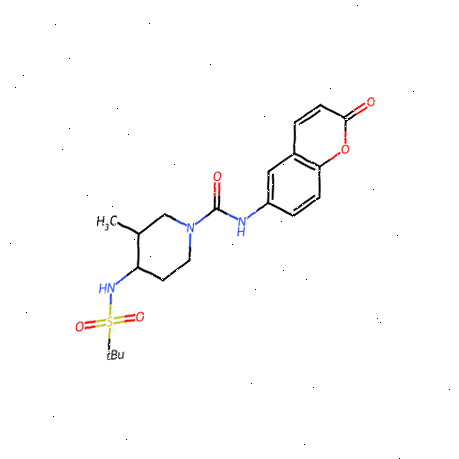 CC1CN(C(=O)Nc2ccc3oc(=O)ccc3c2)CCC1NS(=O)(=O)C(C)(C)C